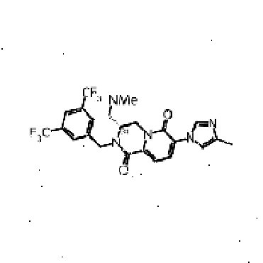 CNC[C@@H]1Cn2c(ccc(-n3cnc(C)c3)c2=O)C(=O)N1Cc1cc(C(F)(F)F)cc(C(F)(F)F)c1